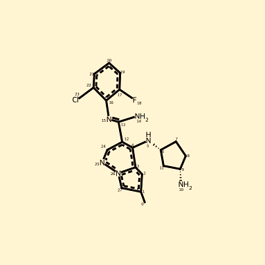 Cc1cc2c(N[C@@H]3CC[C@H](N)C3)c(/C(N)=N/c3c(F)cccc3Cl)cnn2c1